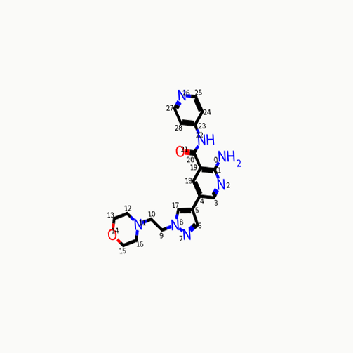 Nc1ncc(-c2cnn(CCN3CCOCC3)c2)cc1C(=O)Nc1ccncc1